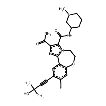 CN1CCCC(NC(=O)c2c(C(N)=O)nc3n2CCOc2cc(F)c(C#CC(C)(C)O)cc2-3)C1